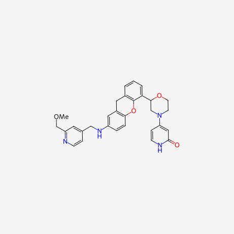 COCc1cc(CNc2ccc3c(c2)Cc2cccc(C4CN(c5cc[nH]c(=O)c5)CCO4)c2O3)ccn1